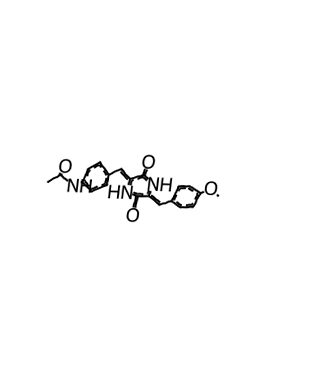 COc1ccc(C=c2[nH]c(=O)c(=Cc3ccc(NC(C)=O)cc3)[nH]c2=O)cc1